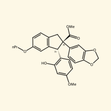 CCCOc1ccc2c(c1)[C@@H](c1ccc(OC)cc1O)[C@@](C(=O)OC)(c1ccc3c(c1)OCO3)C2